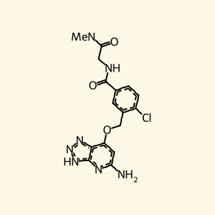 CNC(=O)CNC(=O)c1ccc(Cl)c(COc2cc(N)nc3[nH]nnc23)c1